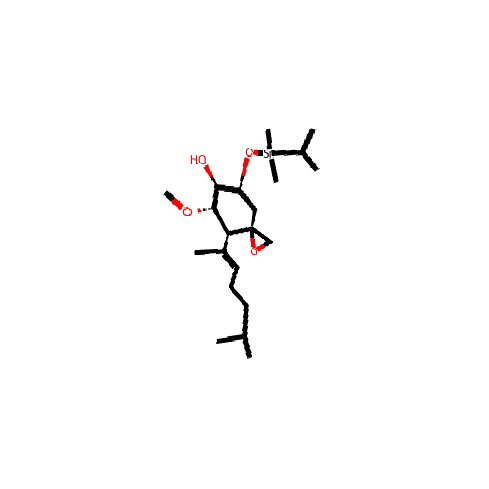 CO[C@@H]1[C@@H](O)[C@@H](O[Si](C)(C)C(C)C)C[C@]2(CO2)[C@H]1C(C)=CCCC(C)C